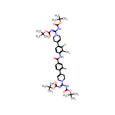 Cc1c(NC(=O)c2ccc(C3=CCN(/C(=N\C(=O)OC(C)(C)C)NC(=O)OC(C)(C)C)CC3)c(F)c2)ccc(C2=CCN(/C(=N\C(=O)OC(C)(C)C)NC(=O)OC(C)(C)C)CC2)c1Cl